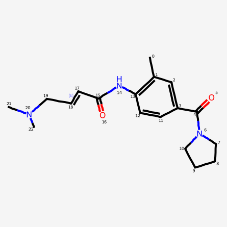 Cc1cc(C(=O)N2CCCC2)ccc1NC(=O)/C=C/CN(C)C